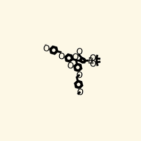 COc1ccc(COc2ccc3c(c2)Oc2cc(OCc4ccc(OC)cc4)ccc2C32OC(=O)c3cc(B4OC(C)(C)C(C)(C)O4)ccc32)cc1